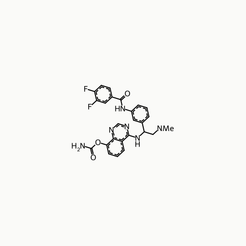 CNCC(Nc1ncnc2c(OC(N)=O)cccc12)c1cccc(NC(=O)c2ccc(F)c(F)c2)c1